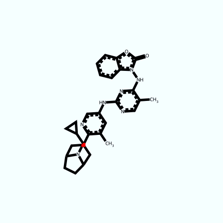 Cc1cnc(Nc2cnc(C3CC4CCC(C3)N4CC3CC3)c(C)c2)nc1Nn1c(=O)oc2ccccc21